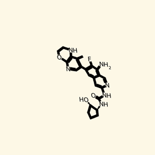 Cc1c(-c2cc3cc(NC(=O)N[C@H]4CCC[C@H]4O)ncc3c(N)c2F)cnc2c1NCCO2